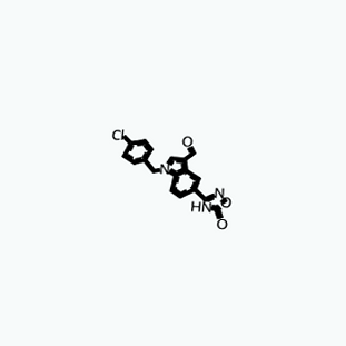 O=Cc1cn(Cc2ccc(Cl)cc2)c2ccc(-c3noc(=O)[nH]3)cc12